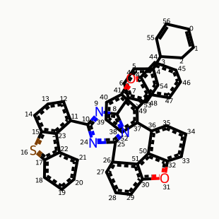 C1=CCC(c2ccc(-c3nc(-c4cccc5sc6ccccc6c45)nc(-c4cccc5oc6cccc(-c7cccc8oc9ccccc9c78)c6c45)n3)cc2)C=C1